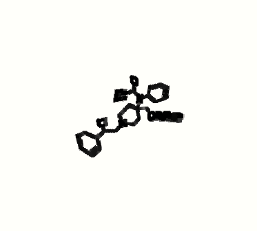 CCC(=O)N(c1ccccc1)C1(COC)CCN(CC(Cl)c2ccccc2)CC1